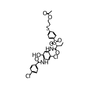 CCC(C(=O)Nc1cc(O)c(NC(=O)c2ccc(Cl)cc2)cc1Cl)S(=O)(=O)c1ccc(SCCOC(C)=O)cc1